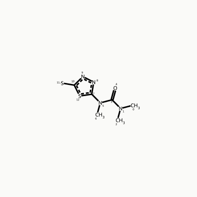 CN(C)C(=O)N(C)c1nnc([S])s1